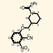 CCCC(=O)N1CCCC(COc2cccc([N+](=O)[O-])c2C#N)C1